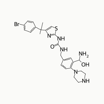 CC(C)(c1ccc(Br)cc1)c1csc(NC(=O)NCc2ccc(N3CCNCC3)c(C(N)O)c2)n1